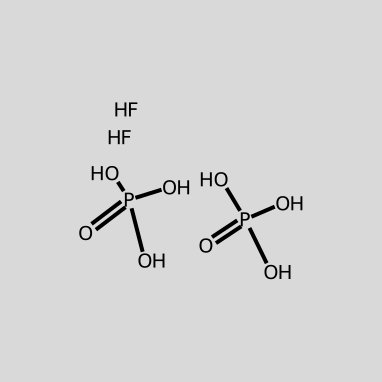 F.F.O=P(O)(O)O.O=P(O)(O)O